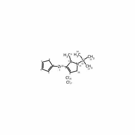 CB1[C]([Zr+2][C]2=CC=CC2)=CCN1[Si](C)(C)C.[Cl-].[Cl-]